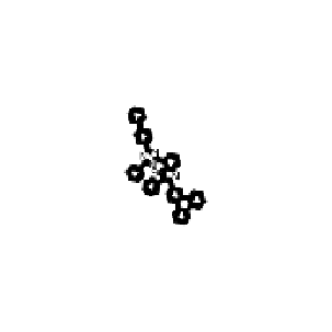 c1ccc(-c2ccc(-c3nc(-c4ccccc4)nc(-c4cccc5nc(-c6ccc7c8ccccc8c8ccccc8c7c6)c6c7ccccc7sc6c45)n3)cc2)cc1